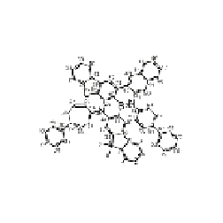 CC1(C)c2ccccc2-c2cc3c(cc21)N(C1=CC=C(c2ccccc2)CC#C1)c1c2c(cc4c1oc1ccccc14)-c1cc4ccccc4cc1N(c1ccc(-c4ccccc4)cc1)B32